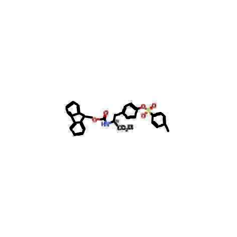 CCOC(=O)[C@H](Cc1ccc(OS(=O)(=O)c2ccc(C)cc2)cc1)NC(=O)OCC1c2ccccc2-c2ccccc21